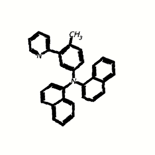 Cc1ccc(N(c2cccc3ccccc23)c2cccc3ccccc23)cc1-c1ccccn1